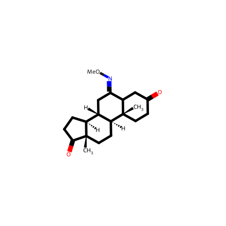 CO/N=C1\C[C@@H]2[C@H](CC[C@]3(C)C(=O)CC[C@@H]23)[C@@]2(C)CCC(=O)CC12